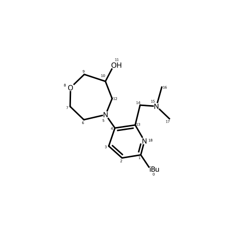 CCC(C)c1ccc(N2CCOCC(O)C2)c(CN(C)C)n1